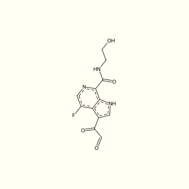 O=CC(=O)c1c[nH]c2c(C(=O)NCCO)ncc(F)c12